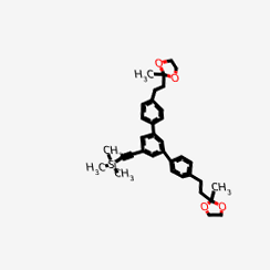 CC1(CCc2ccc(-c3cc(C#C[Si](C)(C)C)cc(-c4ccc(CCC5(C)OCCO5)cc4)c3)cc2)OCCO1